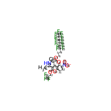 CC1=C(C(=O)OCCCC(F)(F)C(F)(F)C(F)(F)C(F)(F)C(F)(F)C(F)(F)F)C(c2cccc([N+](=O)[O-])c2)C(C(=O)OCC(F)(F)F)=C(C)N1